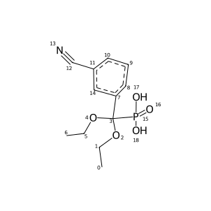 CCOC(OCC)(c1cccc(C#N)c1)P(=O)(O)O